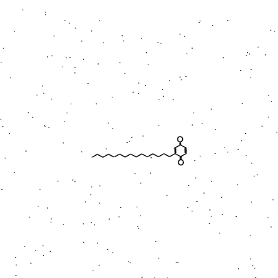 CCCCCCCCCCCCCCCC1=CC(=O)C=CC1=O